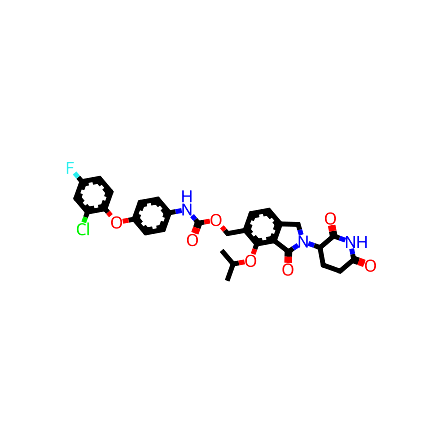 CC(C)Oc1c(COC(=O)Nc2ccc(Oc3ccc(F)cc3Cl)cc2)ccc2c1C(=O)N(C1CCC(=O)NC1=O)C2